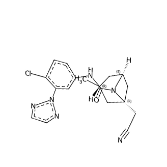 C[C@@H]1C[C@H]2C[C@@](CC#N)(C1)N2C(=O)Nc1ccc(Cl)c(-n2nccn2)c1